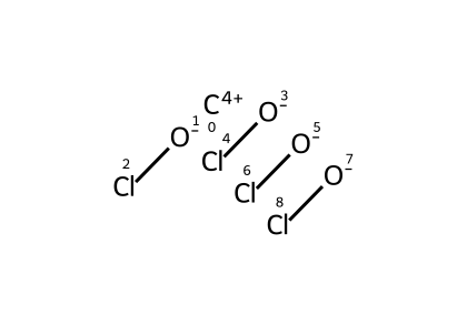 [C+4].[O-]Cl.[O-]Cl.[O-]Cl.[O-]Cl